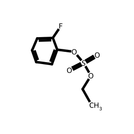 CCOS(=O)(=O)Oc1ccccc1F